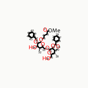 COC(=O)CCCO[C@@H]1OC(CO[C@H]2OC(CO)[C@@H](C)[C@H](C)C2OC(=O)c2ccccc2)[C@@H](C)[C@H](O)C1OCc1ccccc1